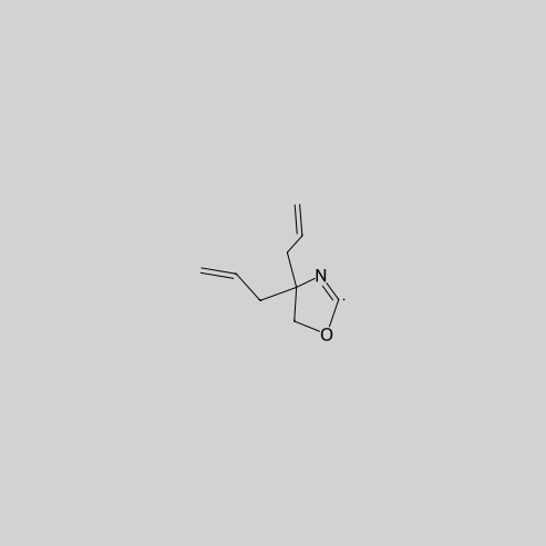 C=CCC1(CC=C)CO[C]=N1